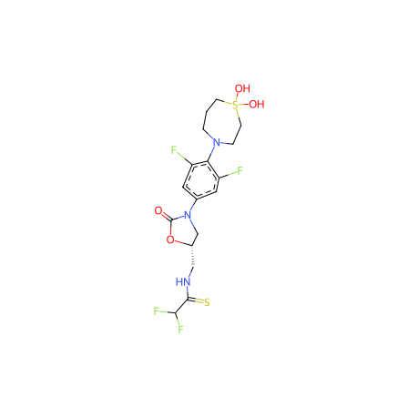 O=C1O[C@@H](CNC(=S)C(F)F)CN1c1cc(F)c(N2CCCS(O)(O)CC2)c(F)c1